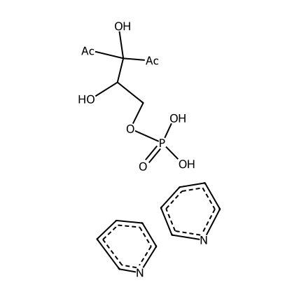 CC(=O)C(O)(C(C)=O)C(O)COP(=O)(O)O.c1ccncc1.c1ccncc1